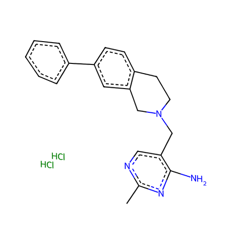 Cc1ncc(CN2CCc3ccc(-c4ccccc4)cc3C2)c(N)n1.Cl.Cl